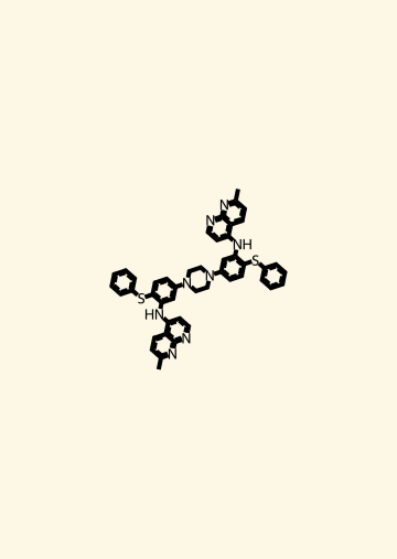 Cc1ccc2c(Nc3cc(N4CCN(c5ccc(Sc6ccccc6)c(Nc6ccnc7nc(C)ccc67)c5)CC4)ccc3Sc3ccccc3)ccnc2n1